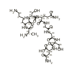 C[C@H](N)C(=O)N[C@@H](CCCCN)C(=O)N[C@@H](CO)C(=O)N[C@@H](CCC(N)=O)C(=O)NCC(=O)NCC(=O)N[C@@H](CO)C(=O)N[C@@H](CC(N)=O)C(=O)O